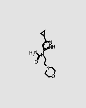 NC(=O)N(CCN1CCOCC1)c1cc(C2CC2)n[nH]1